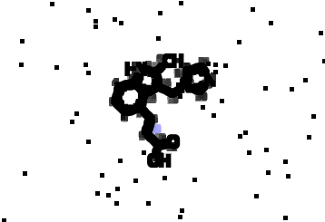 Cc1[nH]c2cccc(/C=C/C(=O)O)c2c1Cn1ccnc1